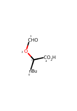 [CH2]CCCC(OC=O)C(=O)O